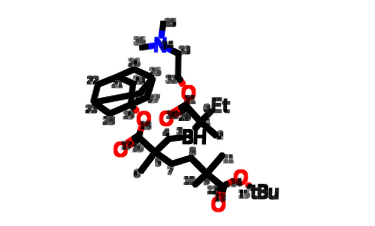 CCC(C)(BCC(C)(CCC(C)(C)C(=O)OC(C)(C)C)C(=O)OC12CC3CC(CC(C3)C1)C2)C(=O)OCCN(C)C